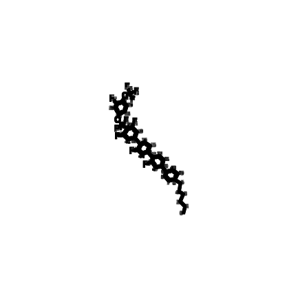 CCCCCCc1ccc(-c2ccc(-c3ccc(-c4cc(F)c(C(F)(F)Oc5ccc(OC(F)(F)F)c(F)c5)c(F)c4)c(F)c3)c(F)c2)cc1